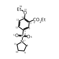 CCOC(=O)c1cc(S(=O)(=O)N2CCCC2)ccc1OCC